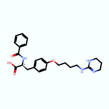 O=C(N[C@@H](Cc1ccc(OCCCCNC2=NCCCN2)cc1)C(=O)O)c1ccccc1